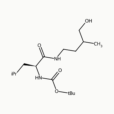 CC(C)C[C@H](NC(=O)OC(C)(C)C)C(=O)NCCC(C)CO